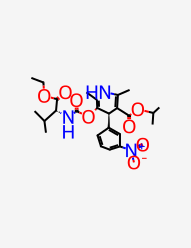 CCOC(=O)[C@H](NC(=O)OC1=C(C)NC(C)=C(C(=O)OC(C)C)[C@H]1c1cccc([N+](=O)[O-])c1)C(C)C